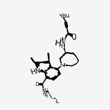 Cc1[nH]c2c(C(N)=O)ccc(N3CCC[C@H](NC(=O)C#CC(C)(C)C)C3)c2c1C